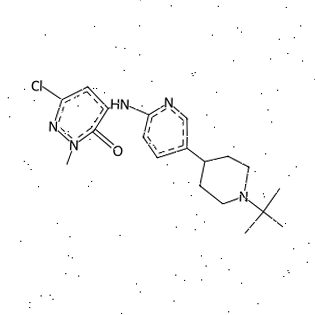 Cn1nc(Cl)cc(Nc2ccc(C3CCN(C(C)(C)C)CC3)cn2)c1=O